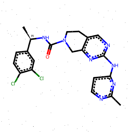 Cc1nccc(Nc2ncc3c(n2)CN(C(=O)N[C@H](C)c2ccc(Cl)c(Cl)c2)CC3)n1